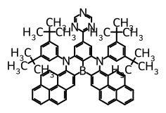 CC(C)(C)c1cc(N2c3cc(-c4ncncn4)cc4c3B(c3cc5ccc6cccc7ccc(c32)c5c67)c2cc3ccc5cccc6ccc(c2N4c2cc(C(C)(C)C)cc(C(C)(C)C)c2)c3c56)cc(C(C)(C)C)c1